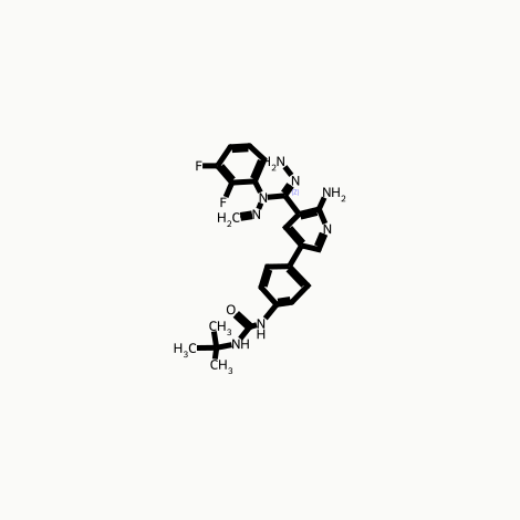 C=NN(/C(=N\N)c1cc(-c2ccc(NC(=O)NC(C)(C)C)cc2)cnc1N)c1cccc(F)c1F